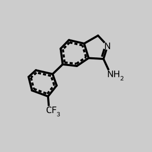 NC1=NCc2ccc(-c3cccc(C(F)(F)F)c3)cc21